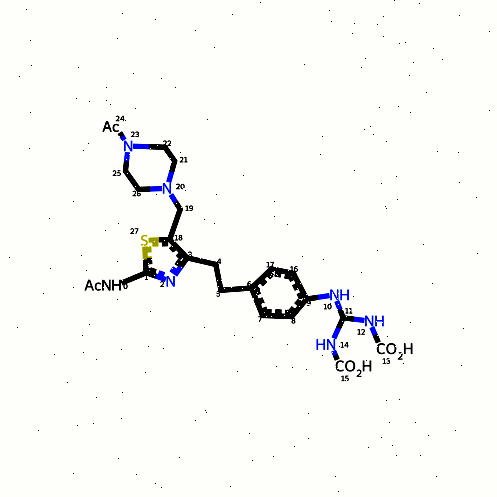 CC(=O)Nc1nc(CCc2ccc(NC(NC(=O)O)NC(=O)O)cc2)c(CN2CCN(C(C)=O)CC2)s1